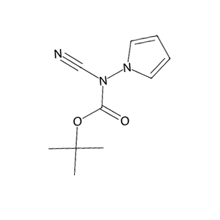 CC(C)(C)OC(=O)N(C#N)n1cccc1